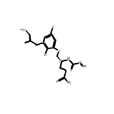 CC(CC(=O)O)Cc1cc(F)cc(OC[C@H](CCC(N)=O)NC(=O)OC(C)(C)C)c1Cl